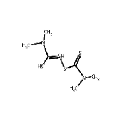 CN(C)C(=S)S[SH]=C(S)N(C)C